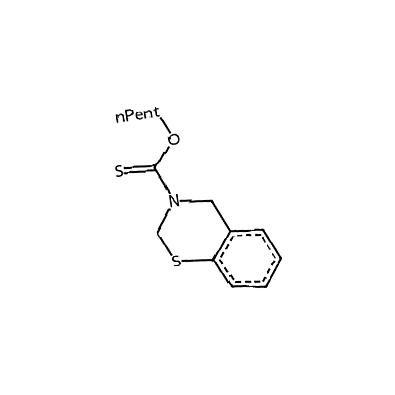 CCCCCOC(=S)N1CSc2ccccc2C1